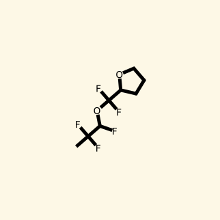 CC(F)(F)C(F)OC(F)(F)C1CCCO1